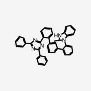 CC1Nc2ccccc2N1c1ccccc1-c1cccc(-c2ccccc2-c2nc(-c3ccccc3)nc(-c3ccccc3)n2)c1